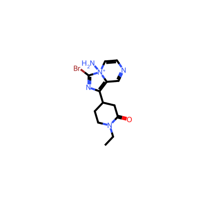 CCN1CCC(C2=C3C=NC=C[N+]3(N)C(Br)=N2)CC1=O